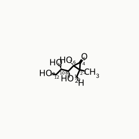 [2H]CC1(C)C(=O)[C@]1(O)[C@@H](O)[C@H](O)CO